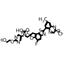 COc1cnc2c(-c3nc4cc(F)c5c(c4s3)CC(C)(CN(C(=O)O)c3cnc(OCCO)nc3)O5)cc(C)cc2n1